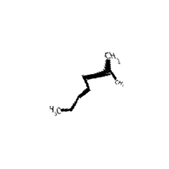 CC/C=C/C=C(C)C